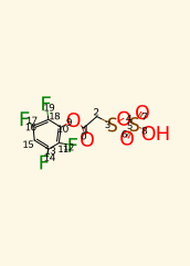 O=C(CSOS(=O)(=O)O)Oc1c(F)c(F)cc(F)c1F